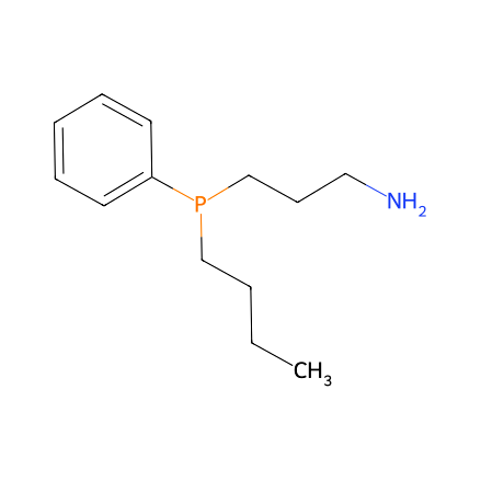 CCCCP(CCCN)c1ccccc1